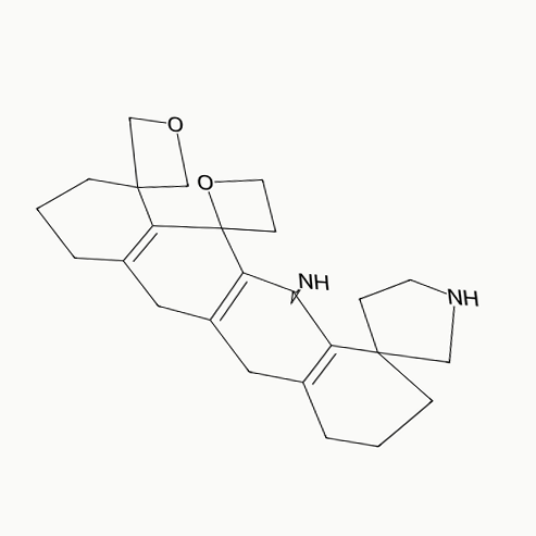 C1CC2=C(C3(C1)CCNC3)C1(CNC1)C1=C(C2)CC2=C(C3(CCC2)COC3)C12CCO2